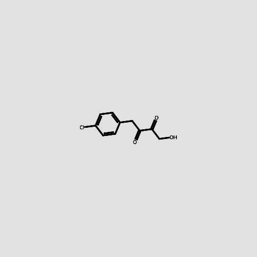 O=C(CO)C(=O)Cc1ccc(Cl)cc1